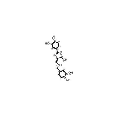 Oc1ccc(CN/C=C2/N=C(c3ccc(O)c(O)c3)OC2O)cc1O